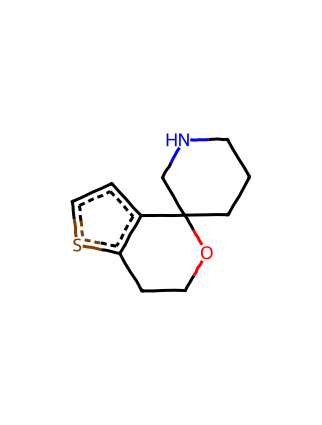 c1cc2c(s1)CCOC21CCCNC1